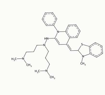 CN(C)CCCN(CCCN(C)C)NC1=CC(=CC2Sc3ccccc3N2C)c2ccccc2N1c1ccccc1